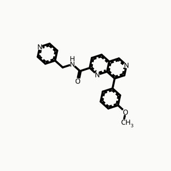 COc1cccc(-c2cncc3ccc(C(=O)NCc4ccncc4)nc23)c1